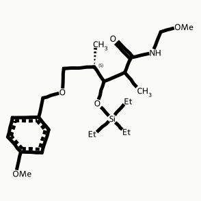 CC[Si](CC)(CC)OC(C(C)C(=O)NCOC)[C@@H](C)COCc1ccc(OC)cc1